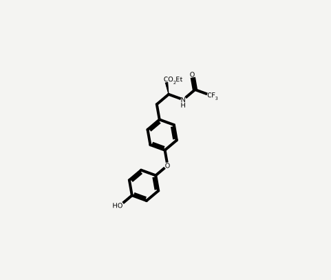 CCOC(=O)[C@H](Cc1ccc(Oc2ccc(O)cc2)cc1)NC(=O)C(F)(F)F